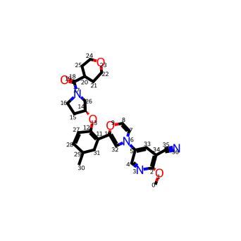 COc1ncc(N2C=COC(C3=C(O[C@H]4CCN(C(=O)C5CCOCC5)C4)C=CC(C)C3)=C2)cc1C#N